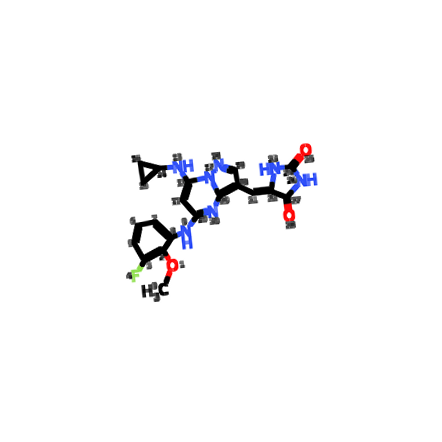 COc1c(F)cccc1Nc1cc(NC2CC2)n2ncc(/C=C3\NC(=O)NC3=O)c2n1